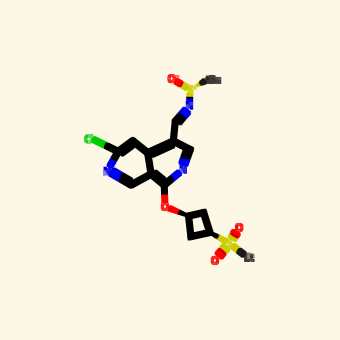 CCS(=O)(=O)[C@H]1C[C@@H](Oc2ncc(/C=N/[S@@+]([O-])C(C)(C)C)c3cc(Cl)ncc23)C1